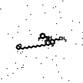 CCCC1CSC(CCCCCCCCCCCCCC2CCCO2)N(C(=S)Nc2cccc(I)c2)C1